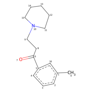 Cc1cccc(C(=O)CCN2CCCCC2)c1